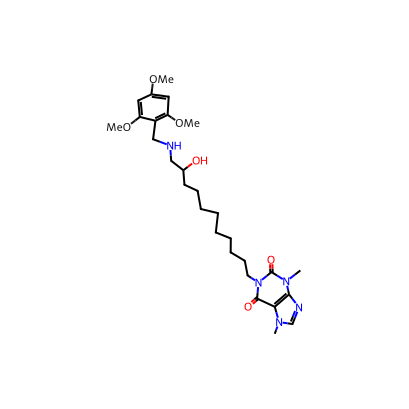 COc1cc(OC)c(CNCC(O)CCCCCCCCCn2c(=O)c3c(ncn3C)n(C)c2=O)c(OC)c1